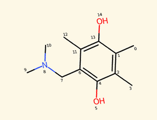 Cc1c(C)c(O)c(CN(C)C)c(C)c1O